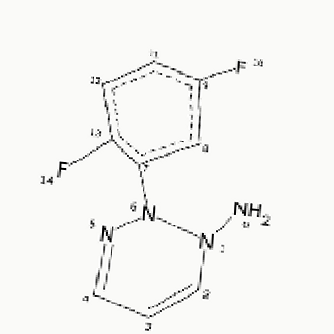 NN1C=CC=NN1c1cc(F)ccc1F